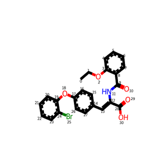 CCOc1ccccc1C(=O)N/C(=C\c1ccc(Oc2ccccc2Br)cc1)C(=O)O